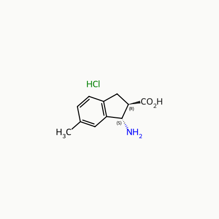 Cc1ccc2c(c1)[C@@H](N)[C@H](C(=O)O)C2.Cl